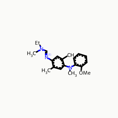 CCN(C)/C=N/c1cc(C)c(N(C)c2ccccc2OC)cc1C